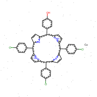 Oc1ccc(-c2c3nc(c(-c4ccc(Cl)cc4)c4ccc([nH]4)c(-c4ccc(Cl)cc4)c4nc(c(-c5ccc(Cl)cc5)c5ccc2[nH]5)C=C4)C=C3)cc1.[Cu]